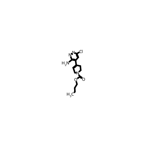 CCCCOC(=O)N1CC=C(c2cc(Cl)nnc2N)CC1